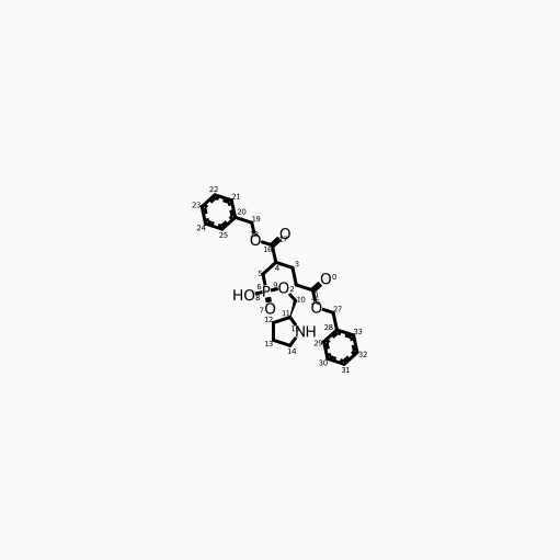 O=C(CCC(CP(=O)(O)OC[C@@H]1CCCN1)C(=O)OCc1ccccc1)OCc1ccccc1